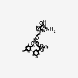 Cc1ccc(COP(COCCn2cnc3c(=O)[nH]c(N)nc32)OCc2oc(=O)oc2C2CCCCC2)cc1